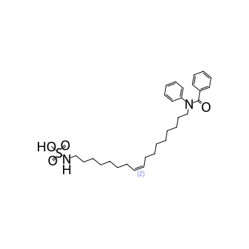 O=C(c1ccccc1)N(CCCCCCCC/C=C\CCCCCCCNS(=O)(=O)O)c1ccccc1